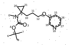 CN(C(=O)OC(C)(C)C)C1(CCCOc2cccnc2)CC1